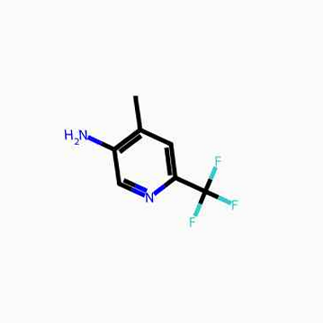 Cc1cc(C(F)(F)F)ncc1N